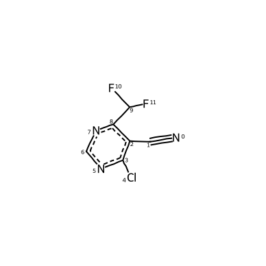 N#Cc1c(Cl)ncnc1C(F)F